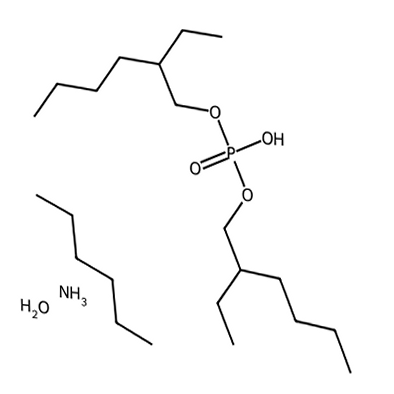 CCCCC(CC)COP(=O)(O)OCC(CC)CCCC.CCCCCC.N.O